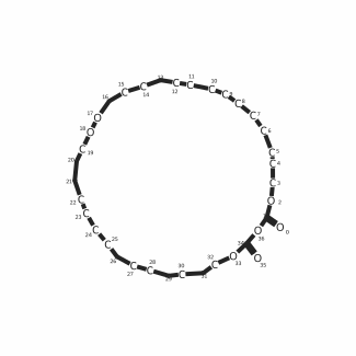 O=C1OCCCCCCCCCCCCCCOOCCCCCCCCCCCCCCOC(=O)O1